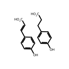 O=C(O)C=Cc1ccc(O)cc1.O=C(O)CCc1ccc(O)cc1